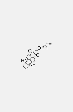 C#CCOCCOCCN1C(=O)c2ccc3c4c(ccc(c24)C1=O)NC1CCCCC1N3